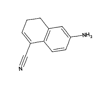 N#CC1=CCCc2cc(N)ccc21